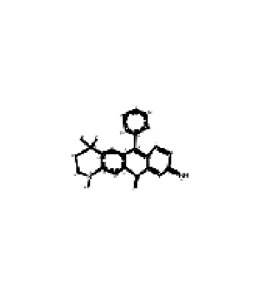 CC1C2=CC(=N)C=CC2=C(c2ccccc2)c2cc3c(cc21)N(C)CCC3(C)C